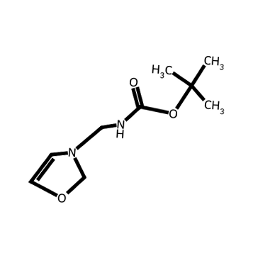 CC(C)(C)OC(=O)NCN1C=COC1